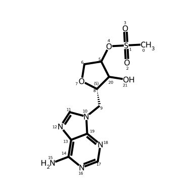 CS(=O)(=O)OC1CO[C@@H](Cn2cnc3c(N)ncnc32)C1O